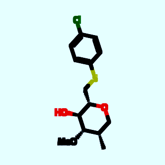 CO[C@@H]1[C@@H](O)[C@H](CSc2ccc(Cl)cc2)OC[C@@H]1C